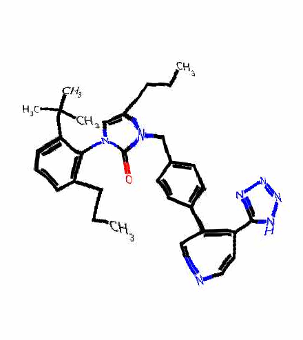 CCCc1cccc(C(C)(C)C)c1-n1cc(CCC)n(Cc2ccc(-c3cnccc3-c3nnn[nH]3)cc2)c1=O